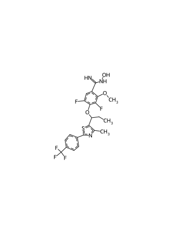 CCC(Oc1c(F)cc(C(=N)NO)c(OC)c1F)c1sc(-c2ccc(C(F)(F)F)cc2)nc1C